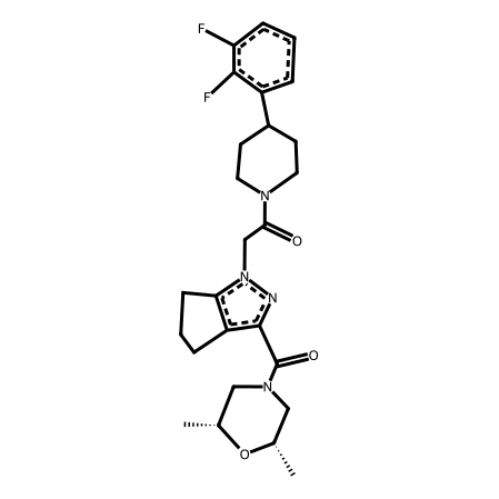 C[C@@H]1CN(C(=O)c2nn(CC(=O)N3CCC(c4cccc(F)c4F)CC3)c3c2CCC3)C[C@H](C)O1